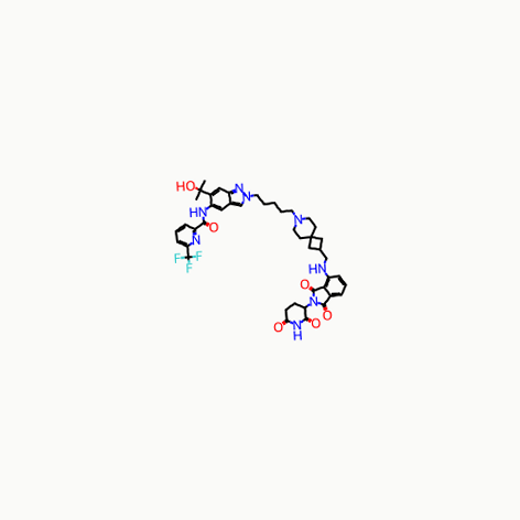 CC(C)(O)c1cc2nn(CCCCCN3CCC4(CC3)CC(CNc3cccc5c3C(=O)N(C3CCC(=O)NC3=O)C5=O)C4)cc2cc1NC(=O)c1cccc(C(F)(F)F)n1